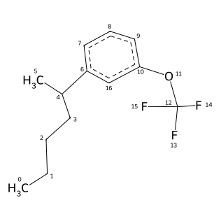 CCCCC(C)c1cccc(OC(F)(F)F)c1